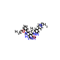 C=C(Nc1ccc(C2CCN(C)CC2)cc1)c1c(/C=C(\N)c2ccccc2OCC)cc[nH]c1=O